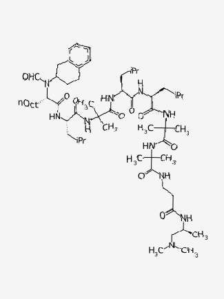 CCCCCCCC[C@@H](C(=O)N[C@@H](CC(C)C)C(=O)NC(C)(C)C(=O)N[C@@H](CC(C)C)C(=O)N[C@@H](CC(C)C)C(=O)NC(C)(C)C(=O)NC(C)(C)C(=O)NCCC(=O)N[C@@H](C)CN(C)C)N(C=O)C1CCc2ccccc2C1